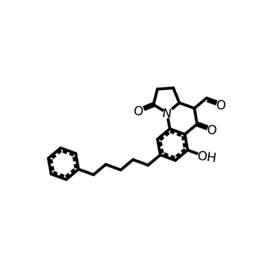 O=CC1C(=O)c2c(O)cc(CCCCCc3ccccc3)cc2N2C(=O)CCC12